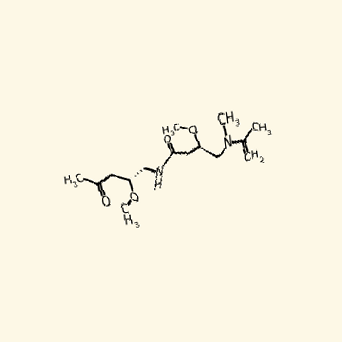 C=C(C)N(C)C[C@@H](CC(=O)NC[C@@H](CC(C)=O)OC)OC